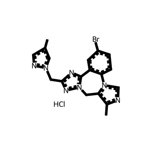 Cc1cnn(Cc2nc3n(n2)Cc2c(C)ncn2-c2ccc(Br)cc2-3)c1.Cl